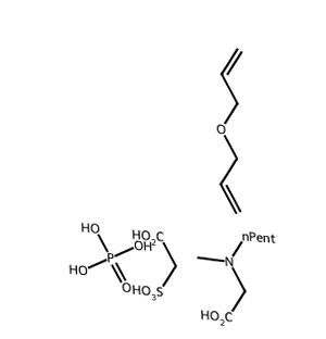 C=CCOCC=C.CCCCCN(C)CC(=O)O.O=C(O)CS(=O)(=O)O.O=P(O)(O)O